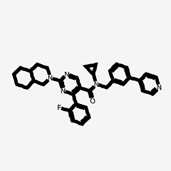 O=C(c1cnc(N2CCC3CCCCC3C2)nc1-c1ccccc1F)N(Cc1cccc(-c2ccncc2)c1)C1CC1